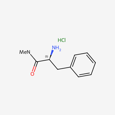 CNC(=O)[C@@H](N)Cc1ccccc1.Cl